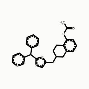 CC(=O)Oc1cccc2c1CCC(Cc1coc(C(c3ccccc3)c3cccnc3)n1)C2